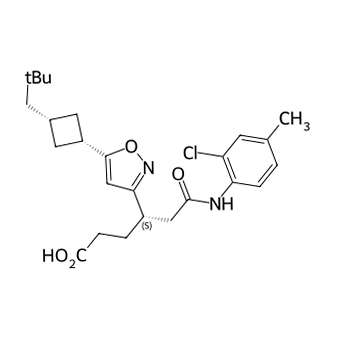 Cc1ccc(NC(=O)C[C@H](CCC(=O)O)c2cc([C@H]3C[C@@H](CC(C)(C)C)C3)on2)c(Cl)c1